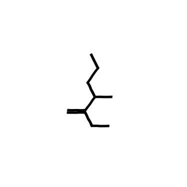 C=C(CC)C(C)CCC